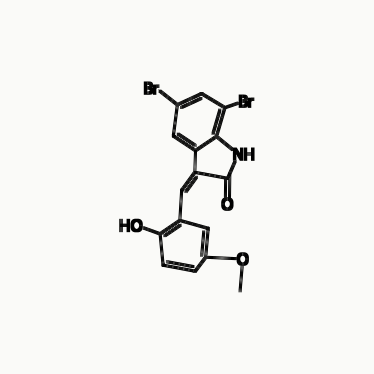 COc1ccc(O)c(C=C2C(=O)Nc3c(Br)cc(Br)cc32)c1